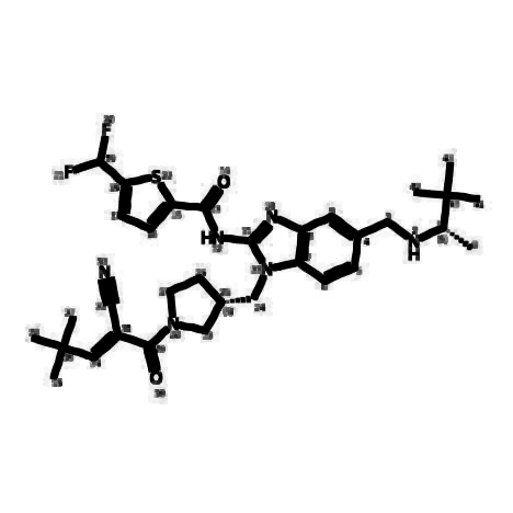 C[C@H](NCc1ccc2c(c1)nc(NC(=O)c1ccc(C(F)F)s1)n2C[C@H]1CCN(C(=O)C(C#N)=CC(C)(C)C)C1)C(C)(C)C